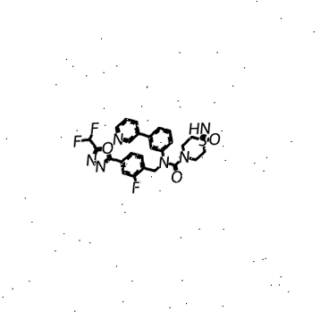 N=S1(=O)CCN(C(=O)N(Cc2ccc(-c3nnc(C(F)F)o3)cc2F)c2cccc(-c3cccnc3)c2)CC1